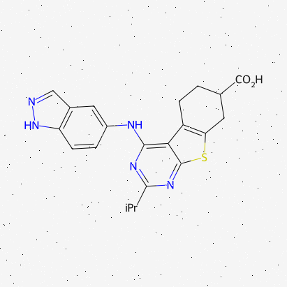 CC(C)c1nc(Nc2ccc3[nH]ncc3c2)c2c3c(sc2n1)CC(C(=O)O)CC3